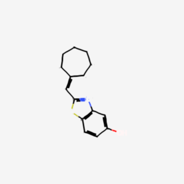 Oc1ccc2sc(C=C3CCCCCC3)nc2c1